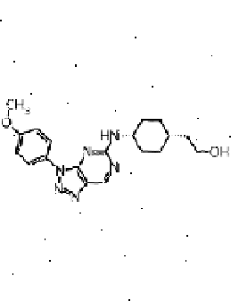 COc1ccc(-n2nnc3cnc(N[C@H]4CC[C@@H](CCO)CC4)nc32)cc1